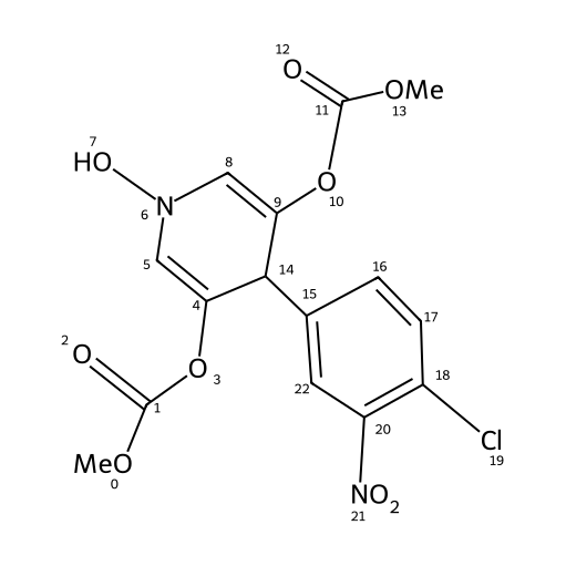 COC(=O)OC1=CN(O)C=C(OC(=O)OC)C1c1ccc(Cl)c([N+](=O)[O-])c1